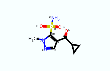 Cn1ncc(C(=O)C2CC2)c1S(N)(=O)=O